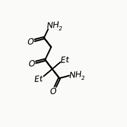 CCC(CC)(C(N)=O)C(=O)CC(N)=O